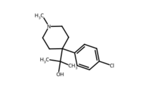 CN1CCC(c2ccc(Cl)cc2)(C(C)(C)O)CC1